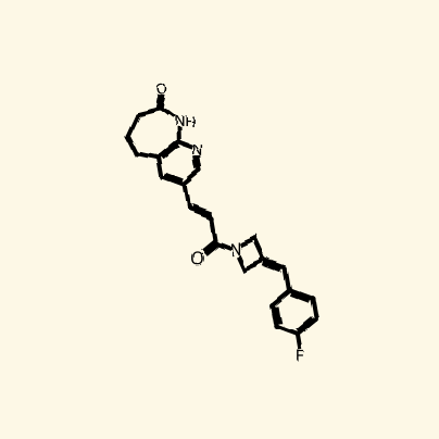 O=C1CCCc2cc(/C=C/C(=O)N3CC(=Cc4ccc(F)cc4)C3)cnc2N1